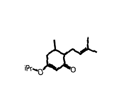 CC(C)=CCC1C(=O)C=C(OC(C)C)CC1C